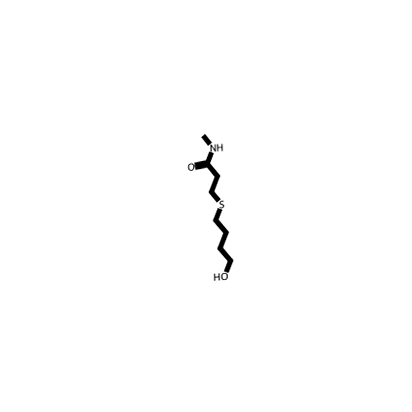 CNC(=O)CCSCCCCO